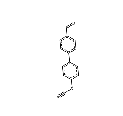 N#COc1ccc(-c2ccc(C=O)cc2)cc1